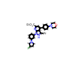 CCOC(=O)c1cc(-c2ccc(N3CCOCC3)cc2)c2c(n1)N(c1cccc(N3CCC(F)C3)c1)NC2C(C)C